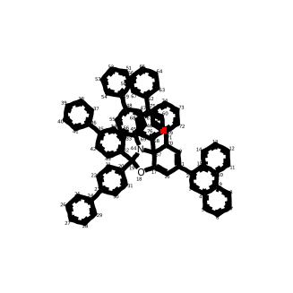 C1=C(c2cc3ccccc3c3ccccc23)C=C2OC(c3ccc(-c4ccccc4)cc3)(c3ccc(-c4ccccc4)cc3)N(c3ccc(-c4ccccc4)cc3)C2(c2ccc(-c3ccccc3)cc2)C1c1ccccc1